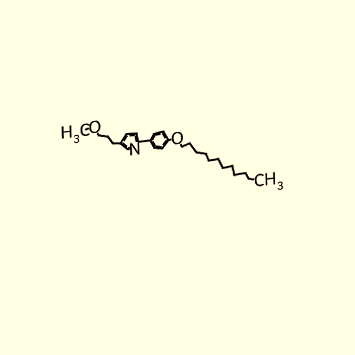 CCCCCCCCCCCCOc1ccc(-c2ccc(CCCOC)cn2)cc1